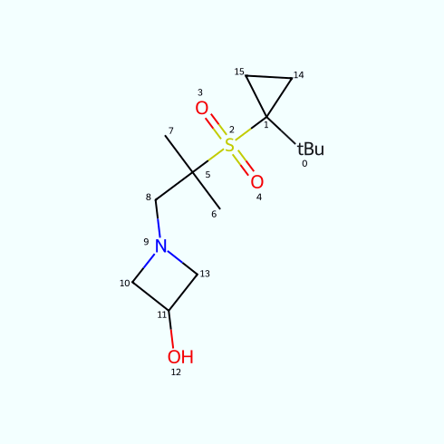 CC(C)(C)C1(S(=O)(=O)C(C)(C)CN2CC(O)C2)CC1